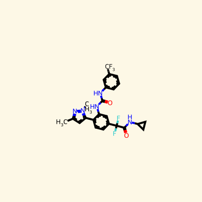 Cc1cc(-c2ccc(C(F)(F)C(=O)NC3CC3)cc2NC(=O)Nc2cccc(C(F)(F)F)c2)n(C)n1